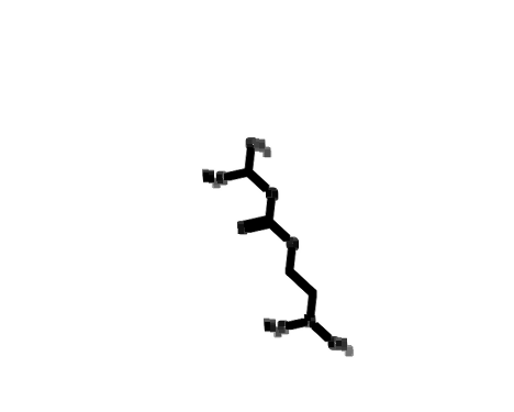 CC(C)OC(=S)OCCN(C)C